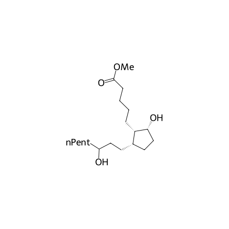 CCCCCC(O)CC[C@H]1CC[C@@H](O)[C@H]1CCCCC(=O)OC